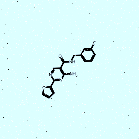 Nc1nc(-c2ccco2)ncc1C(=O)NCc1cccc(Cl)c1